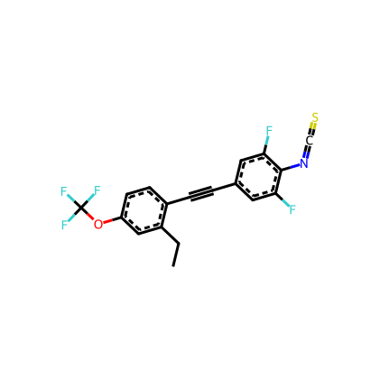 CCc1cc(OC(F)(F)F)ccc1C#Cc1cc(F)c(N=C=S)c(F)c1